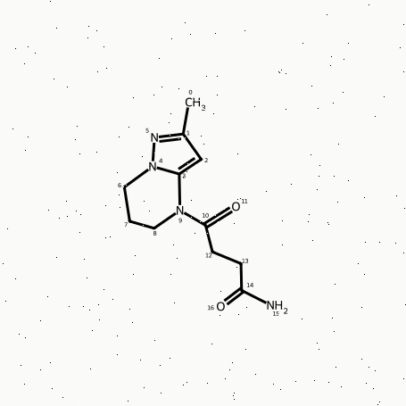 Cc1cc2n(n1)CCCN2C(=O)CCC(N)=O